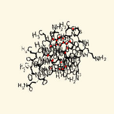 CC[C@H](C)[C@H](NC(=O)[C@H](CC(N)=O)NC(=O)[C@@H]1CCCN1C(=O)[C@H](CC(C)C)NC(=O)[C@@H](NC(=O)CNC(=O)CNC(=O)[C@H](CCC(N)=O)NC(=O)[C@H](C)NC(=O)[C@@H](NC(=O)[C@@H](NC(=O)[C@@H](N)C(C)C)[C@@H](C)O)[C@@H](C)CC)C(C)C)C(=O)N[C@@H](CCC(N)=O)C(=O)N[C@@H](C)C(=O)N[C@H](C(=O)N[C@@H](CC(C)C)C(=O)N[C@@H](CC(C)C)C(=O)N1CCC[C@H]1C(=O)N[C@@H](CCCCN)C(=O)N[C@@H](CCCCN)C(=O)O)C(C)C